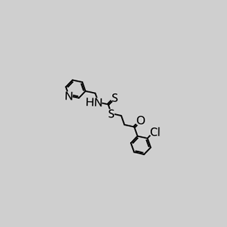 O=C(CCSC(=S)NCc1cccnc1)c1ccccc1Cl